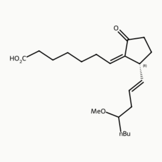 CCCCC(CC=C[C@H]1CCC(=O)C1=CCCCCCC(=O)O)OC